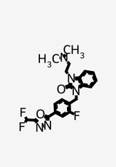 CN(C)CCn1c(=O)n(Cc2ccc(-c3nnc(C(F)F)o3)cc2F)c2ccccc21